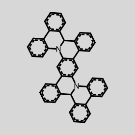 c1ccc2c(c1)-c1ccccc1N1c3cc4c(cc3-c3ccccc3C21)N1c2ccccc2-c2ccccc2C1c1ccccc1-4